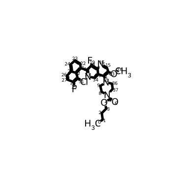 CCCCOC(=O)N1CCN(c2c(OC)cnc3c(F)c(-c4cccc5ccc(F)c(Cl)c45)ncc23)CC1